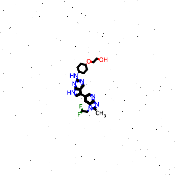 Cc1nc2ncc(-c3c[nH]c4nc(N[C@H]5CC[C@H](OCCO)CC5)ncc34)cc2n1CC(F)F